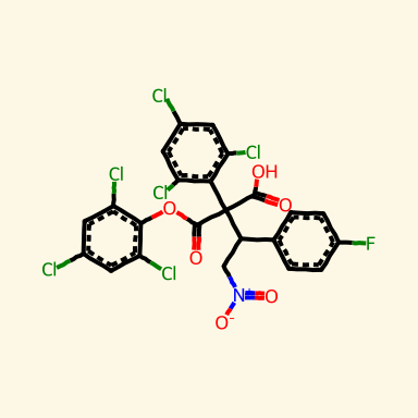 O=C(O)C(C(=O)Oc1c(Cl)cc(Cl)cc1Cl)(c1c(Cl)cc(Cl)cc1Cl)C(C[N+](=O)[O-])c1ccc(F)cc1